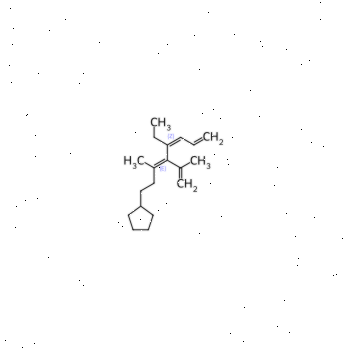 C=C/C=C(CC)\C(C(=C)C)=C(/C)CCC1CCCC1